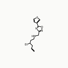 C=CCC(CC)CCNCc1noc(-c2ccsc2)n1